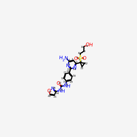 Nc1cc(C2(S(=O)(=O)CCCO)CC2)nc(-c2ccc(NC(=O)Nc3ccon3)cc2)n1